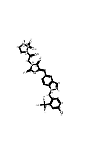 O=C1S/C(=C\c2ccc3c(cnn3Cc3ccc(Cl)cc3C(F)(F)F)c2)C(=O)N1CC(=O)N1CCNS1(=O)=O